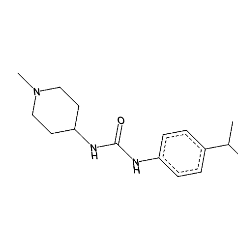 CC(C)c1ccc(NC(=O)NC2CCN(C)CC2)cc1